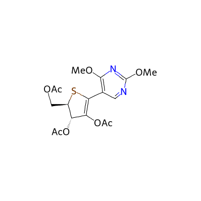 COc1ncc(C2=C(OC(C)=O)[C@H](OC(C)=O)[C@@H](COC(C)=O)S2)c(OC)n1